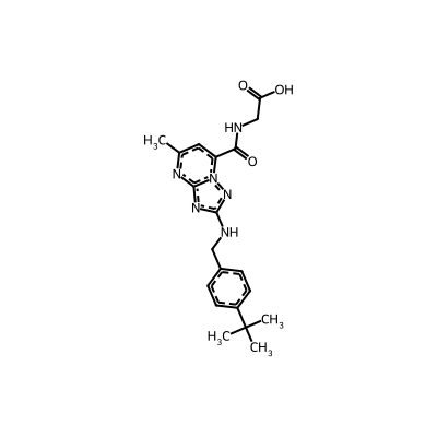 Cc1cc(C(=O)NCC(=O)O)n2nc(NCc3ccc(C(C)(C)C)cc3)nc2n1